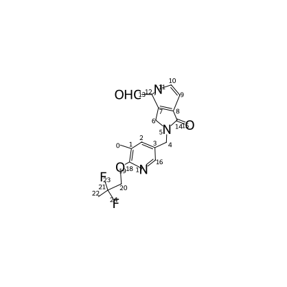 Cc1cc(CN2Cc3c(ccnc3C=O)C2=O)cnc1OCC(C)(F)F